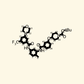 Cc1ccc(NC(=O)c2cc(N3CCOCC3)cc(C(F)(F)F)c2)cc1NC(=O)c1cccc(OC2CCN(C(=O)OC(C)(C)C)CC2)c1